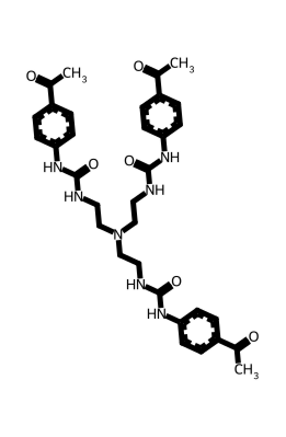 CC(=O)c1ccc(NC(=O)NCCN(CCNC(=O)Nc2ccc(C(C)=O)cc2)CCNC(=O)Nc2ccc(C(C)=O)cc2)cc1